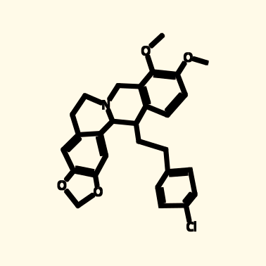 COc1ccc2c(c1OC)CN1CCc3cc4c(cc3C1C2CCc1ccc(Cl)cc1)OCO4